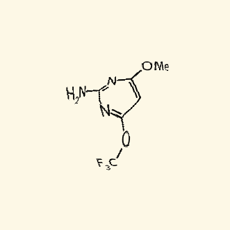 COc1cc(OC(F)(F)F)nc(N)n1